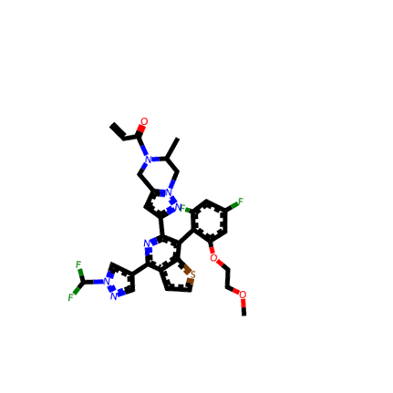 C=CC(=O)N1Cc2cc(-c3nc(-c4cnn(C(F)F)c4)c4ccsc4c3-c3c(F)cc(F)cc3OCCOC)nn2CC1C